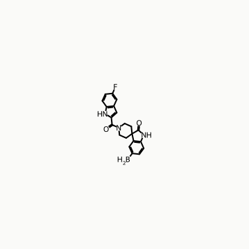 Bc1ccc2c(c1)C1(CCN(C(=O)c3cc4cc(F)ccc4[nH]3)CC1)C(=O)N2